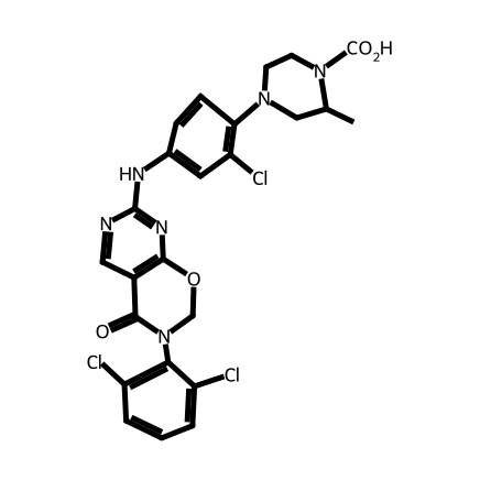 CC1CN(c2ccc(Nc3ncc4c(n3)OCN(c3c(Cl)cccc3Cl)C4=O)cc2Cl)CCN1C(=O)O